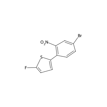 O=[N+]([O-])c1cc(Br)ccc1-c1ccc(F)s1